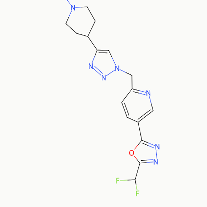 CN1CCC(c2cn(Cc3ccc(-c4nnc(C(F)F)o4)cn3)nn2)CC1